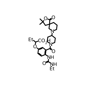 CCNC(=O)Nc1ccc(OC(CC)C(=O)O)cc1C(=O)N1CCC(N2CCCC3(C2)CC(C)(C)OC3=O)CC1